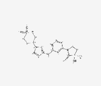 N#C[C@@]1(O)CCN(c2ccnc(Nc3cnn(C4CCS(=O)(=O)CC4)c3)n2)C1=O